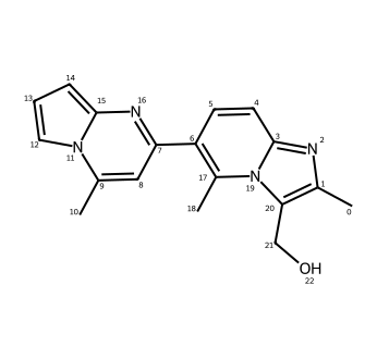 Cc1nc2ccc(-c3cc(C)n4cccc4n3)c(C)n2c1CO